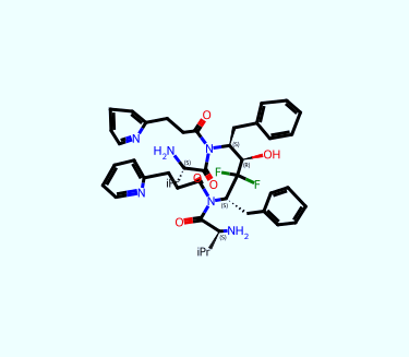 CC(C)[C@H](N)C(=O)N(C(=O)CCc1ccccn1)[C@@H](Cc1ccccc1)C(F)(F)[C@H](O)[C@H](Cc1ccccc1)N(C(=O)CCc1ccccn1)C(=O)[C@@H](N)C(C)C